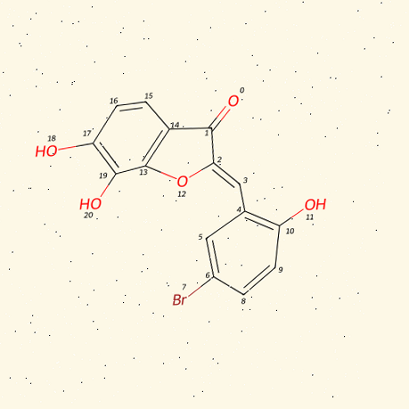 O=C1C(=Cc2cc(Br)ccc2O)Oc2c1ccc(O)c2O